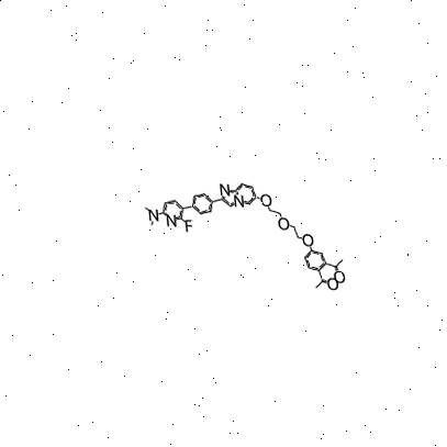 CC(=O)c1ccc(OCCOCCOc2ccc3nc(-c4ccc(-c5ccc(N(C)C)nc5F)cc4)cn3c2)cc1C(C)=O